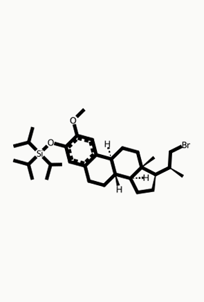 COc1cc2c(cc1O[Si](C(C)C)(C(C)C)C(C)C)CC[C@@H]1[C@@H]2CC[C@]2(C)[C@@H]([C@H](C)CBr)CC[C@@H]12